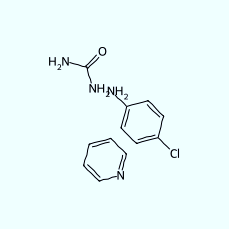 NC(N)=O.Nc1ccc(Cl)cc1.c1ccncc1